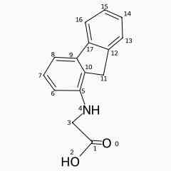 O=C(O)CNc1cccc2c1Cc1ccccc1-2